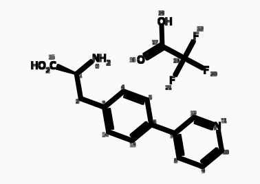 N[C@@H](Cc1ccc(-c2cccnc2)cc1)C(=O)O.O=C(O)C(F)(F)F